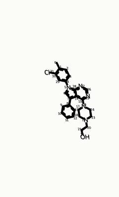 Cc1ccc(-n2cc(-c3ccccc3)c3c(N4CCN(CCO)CC4)ncnc32)cc1Cl